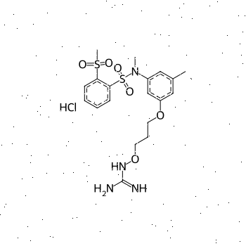 Cc1cc(OCCCONC(=N)N)cc(N(C)S(=O)(=O)c2ccccc2S(C)(=O)=O)c1.Cl